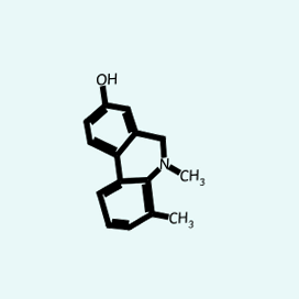 Cc1cccc2c1N(C)Cc1cc(O)ccc1-2